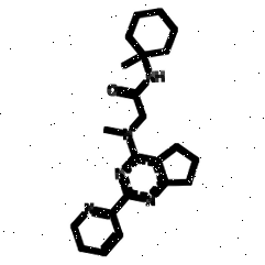 CN(CC(=O)NC1(C)CCCCC1)c1nc(C2=NCCC=C2)nc2c1CCC2